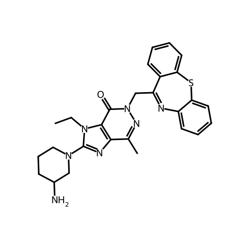 CCn1c(N2CCCC(N)C2)nc2c(C)nn(CC3=Nc4ccccc4Sc4ccccc43)c(=O)c21